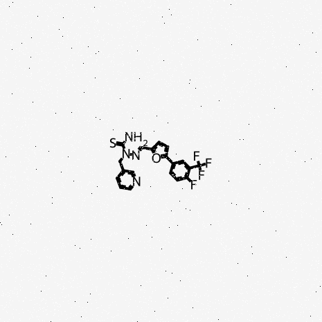 NC(=S)N(Cc1cccnc1)N=Cc1ccc(-c2ccc(F)c(C(F)(F)F)c2)o1